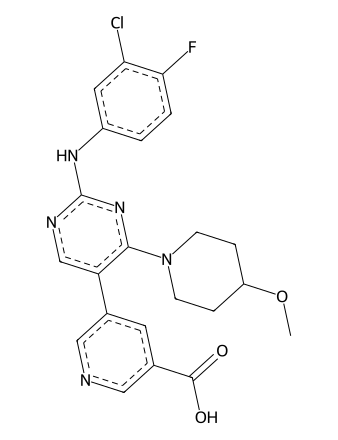 COC1CCN(c2nc(Nc3ccc(F)c(Cl)c3)ncc2-c2cncc(C(=O)O)c2)CC1